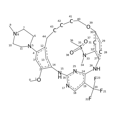 COc1cc(N2CCN(C)CC2)c2cc1Nc1ncc(C(F)(F)F)c(n1)Nc1ccc(cc1N(C)S(C)(=O)=O)OCCCCC2